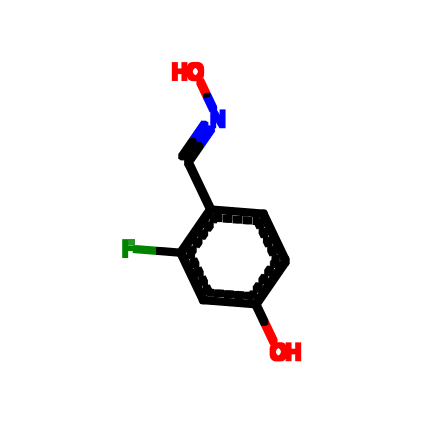 ON=Cc1ccc(O)cc1F